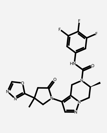 C[C@H]1Cn2ncc(N3CC(C)(c4nnco4)CC3=O)c2CN1C(=O)Nc1cc(F)c(F)c(F)c1